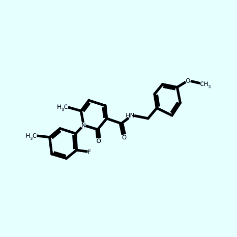 COc1ccc(CNC(=O)c2ccc(C)n(-c3cc(C)ccc3F)c2=O)cc1